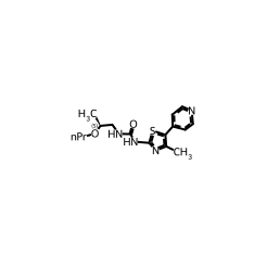 CCCO[C@@H](C)CNC(=O)Nc1nc(C)c(-c2ccncc2)s1